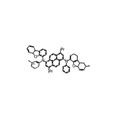 CC1C=CC2OC3=C(CCC=C3N(c3ccccc3)c3cc(C(C)C)c4ccc5c(N(C6=C[C@H](C)CCC6)c6cccc7c6OC6C=CC=CC76)cc(C(C)C)c6ccc3c4c65)C2C1